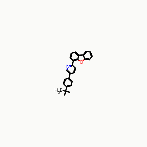 BC(C)(C)c1ccc(-c2ccc(-c3cccc4c3oc3ccccc34)nc2)cc1